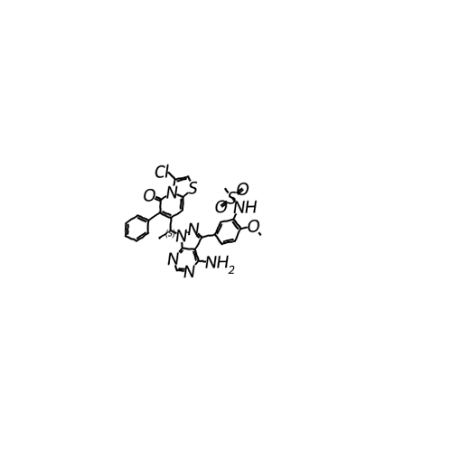 COc1ccc(-c2nn([C@@H](C)c3cc4scc(Cl)n4c(=O)c3-c3ccccc3)c3ncnc(N)c23)cc1NS(C)(=O)=O